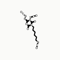 O=C=NCCCCCCn1c(=O)o/c(=N/N=C=O)n(N=C=O)c1=O